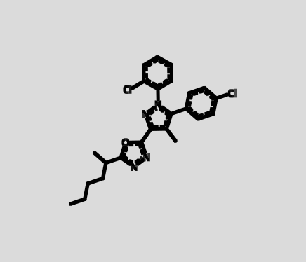 CCCCC(C)c1nnc(-c2nn(-c3ccccc3Cl)c(-c3ccc(Cl)cc3)c2C)o1